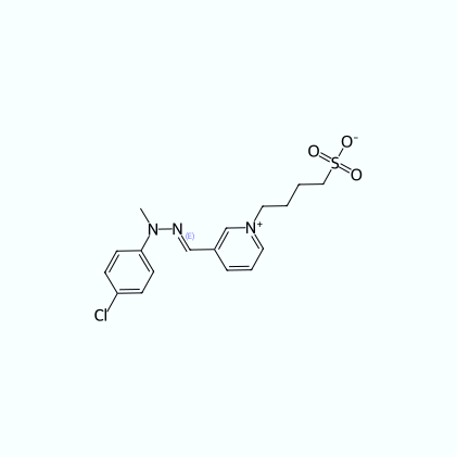 CN(/N=C/c1ccc[n+](CCCCS(=O)(=O)[O-])c1)c1ccc(Cl)cc1